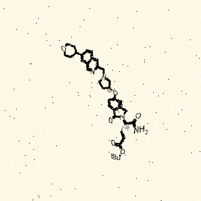 CC(C)(C)OC(=O)CC[C@@H](C(N)=O)N1Cc2cc(O[C@H]3CCN(Cc4cc5ccc(C6CCOCC6)cc5cn4)C3)ccc2C1=O